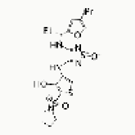 CC[C@@H](Nc1n[s+]([O-])nc1Nc1csc(S(=O)(=O)N2CCCC2)c1O)c1cc(C(C)C)co1